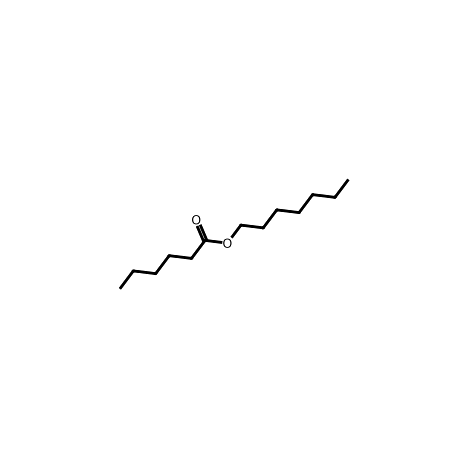 CCCCCCCOC(=O)CCCCC